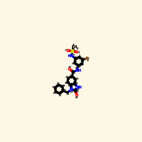 CS(=O)(=O)Nc1cc(Br)cc(NC(=O)c2ccc3c(c2)[nH]c(=O)n3Cc2ccccc2)c1